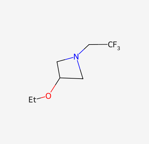 CCOC1CN(CC(F)(F)F)C1